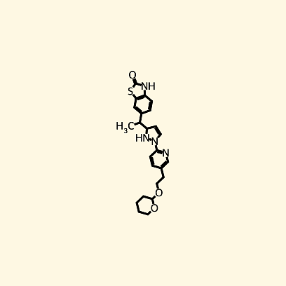 CC(c1ccc2[nH]c(=O)sc2c1)C1C=CN(c2ccc(CCOC3CCCCO3)cn2)N1